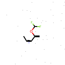 C=C(/C=C\C)OC(F)F